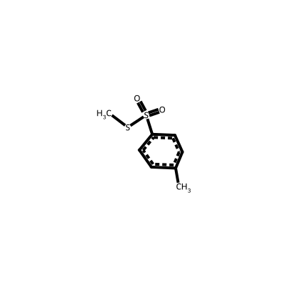 CSS(=O)(=O)c1ccc(C)cc1